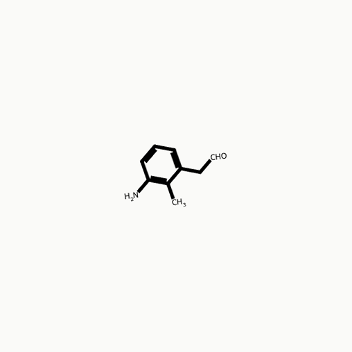 Cc1c(N)cccc1CC=O